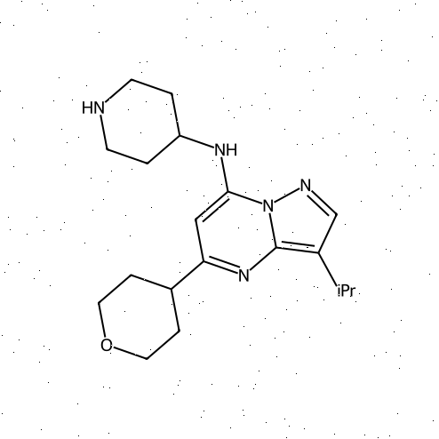 CC(C)c1cnn2c(NC3CCNCC3)cc(C3CCOCC3)nc12